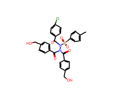 Cc1ccc(S(=O)(=O)N(C(=O)c2ccc(Cl)cc2)N(C(=O)c2ccc(CO)cc2)C(=O)c2ccc(CO)cc2)cc1